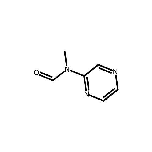 CN(C=O)c1cnccn1